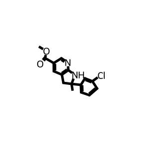 COC(=O)c1cnc2c(c1)CC(C)(c1cccc(Cl)c1)N2